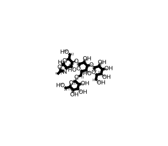 CC1=NC2C(O)[C@H](O[C@@H]3OC(CO[C@H]4OC(CO)[C@@H](O)C(O)C4O)[C@@H](O)C(O[C@@H]4OC(CO)[C@H](O)C(O)C4O)C3O)C(CO)O[C@@H]2O1